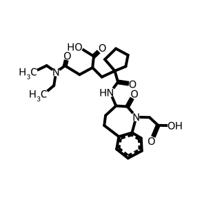 CCN(CC)C(=O)CC(CC1(C(=O)NC2CCc3ccccc3N(CC(=O)O)C2=O)CCCC1)C(=O)O